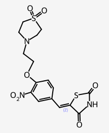 O=C1NC(=O)/C(=C/c2ccc(OCCN3CCS(=O)(=O)CC3)c([N+](=O)[O-])c2)S1